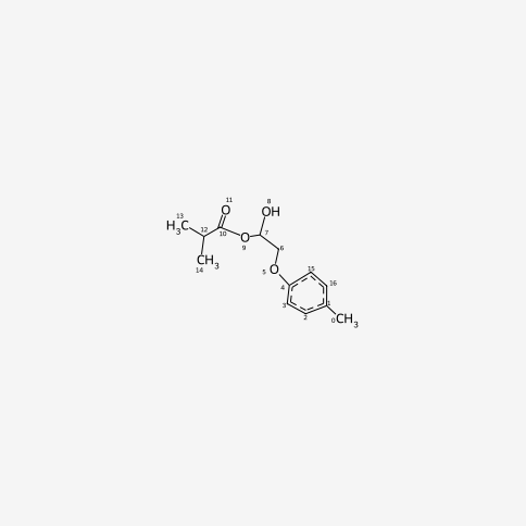 Cc1ccc(OCC(O)OC(=O)C(C)C)cc1